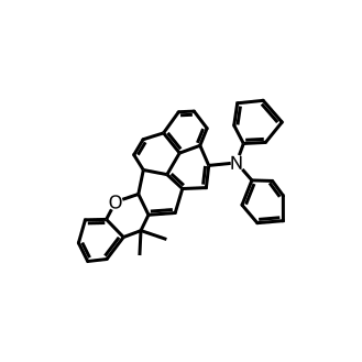 CC1(C)C2=Cc3cc(N(c4ccccc4)c4ccccc4)c4cccc5c4c3C(C=C5)C2Oc2ccccc21